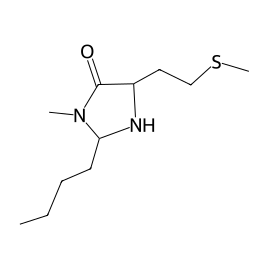 CCCCC1NC(CCSC)C(=O)N1C